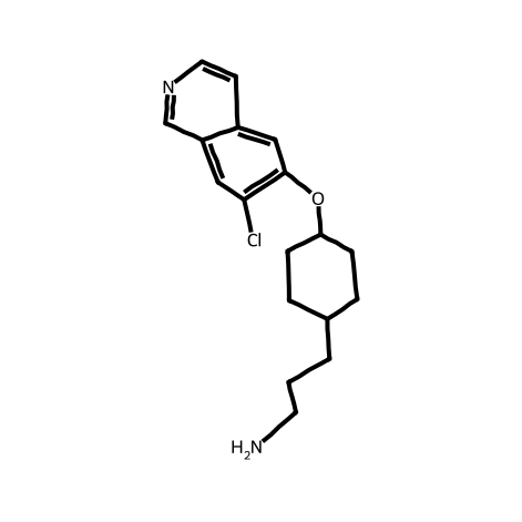 NCCCC1CCC(Oc2cc3ccncc3cc2Cl)CC1